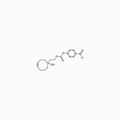 O=C(OCCC1(O)CC/C=C\CCC1)Oc1ccc([N+](=O)[O-])cc1